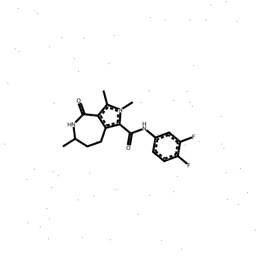 Cc1c2c(c(C(=O)Nc3ccc(F)c(F)c3)n1C)CCC(C)NC2=O